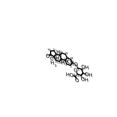 C[C@]12CC[C@H](O[C@@H]3O[C@H](C(=O)O)[C@@H](O)[C@H](O)[C@H]3O)CC1CC[C@@H]1[C@@H]2CC[C@]2(C)C(=O)CC[C@@H]12